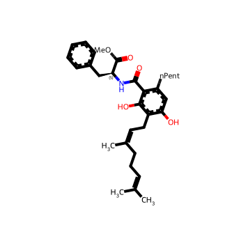 CCCCCc1cc(O)c(CC=C(C)CCC=C(C)C)c(O)c1C(=O)N[C@@H](Cc1ccccc1)C(=O)OC